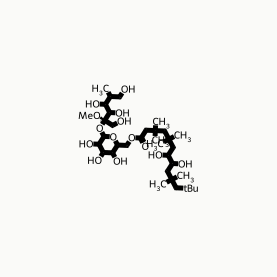 CO[C@@](CO)(OC1OC(COC(=O)CC(C)(C)CC(C)(C)CC(O)C(O)CC(C)(C)CC(C)(C)C)C(O)C(O)C1O)C(O)C(O)C(C)CO